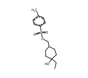 Cc1ccc(S(=O)(=O)OCC2CCC(O)(CF)CC2)cc1